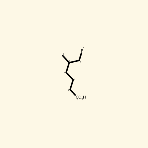 CC(CF)CCCC(=O)O